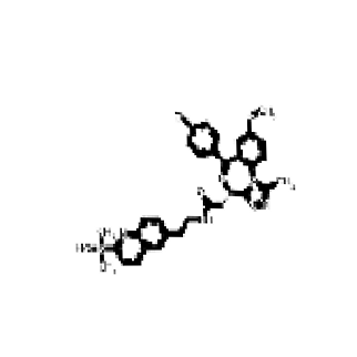 COc1ccc2c(c1)C(c1ccc(Cl)cc1)=N[C@@H](CC(=O)NCCc1ccc3nc([Si](C)(C)O)ccc3c1)c1nnc(C)n1-2